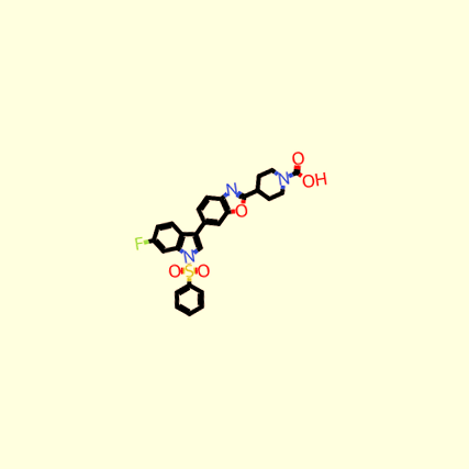 O=C(O)N1CCC(c2nc3ccc(-c4cn(S(=O)(=O)c5ccccc5)c5cc(F)ccc45)cc3o2)CC1